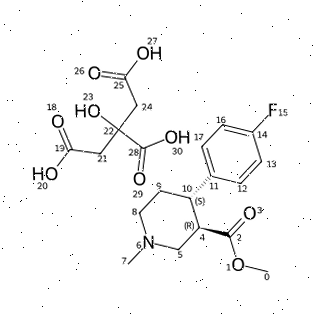 COC(=O)[C@H]1CN(C)CC[C@@H]1c1ccc(F)cc1.O=C(O)CC(O)(CC(=O)O)C(=O)O